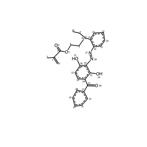 C=C(C)C(=O)OCCN(CC)c1ccccc1N=Nc1c(O)ccc(C(=O)c2ccccc2)c1O